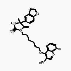 CCCc1cnc2c(C)cccc2c1OCCCCCCN1C(=O)NC(C)(c2ccc3c(c2)CCO3)C1=O